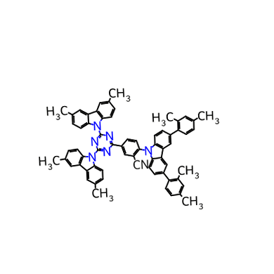 Cc1ccc(-c2ccc3c(c2)c2cc(-c4ccc(C)cc4C)ccc2n3-c2ccc(-c3nc(-n4c5ccc(C)cc5c5cc(C)ccc54)nc(-n4c5ccc(C)cc5c5cc(C)ccc54)n3)cc2C#N)c(C)c1